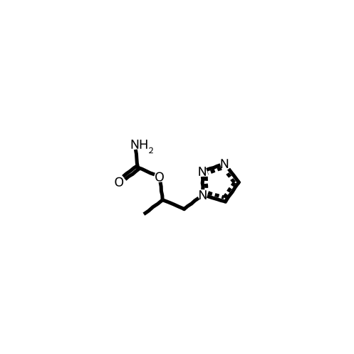 CC(Cn1ccnn1)OC(N)=O